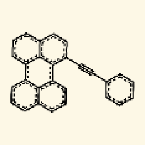 C(#Cc1ccc2cccc3c4cccc5cccc(c1c23)c54)c1ccccc1